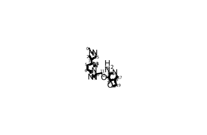 Cn1cc(-c2ccc3nnc(COc4c(N)ncc5ccoc45)n3n2)cn1